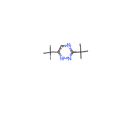 CC(C)(C)c1cnc(C(C)(C)C)nn1